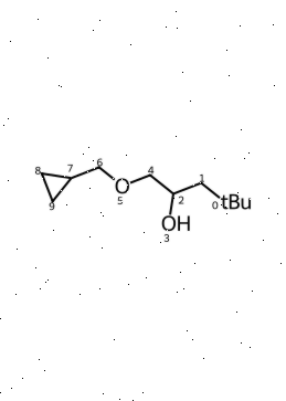 CC(C)(C)CC(O)COCC1CC1